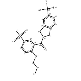 CCCOc1ccc(S(C)(=O)=O)cc1C(=O)N1Cc2cnc(C(F)(F)F)cc2C1